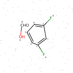 Fc1cccc(F)c1.O=CO